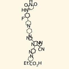 CCC1(C(=O)O)CCN(c2ccc(-c3nc(-c4cnn(C5CCC(N6CCC(c7ccc(N[C@H]8CCC(=O)NC8=O)cc7F)CC6)CC5)c4)cn4ncc(C#N)c34)cn2)CC1